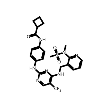 CN(c1ncccc1CNc1nc(Nc2ccc(NC(=O)C3CCC3)cc2)ncc1C(F)(F)F)S(C)(=O)=O